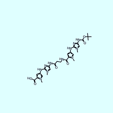 Cn1cc(Nc2nc(NC(=O)CCNC(=O)c3cc(Nc4nc(NC(=O)OC(C)(C)C)cn4C)cn3C)cn2C)cc1C(=O)O